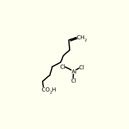 C=CCCCCCCC(=O)O.[Cl][Al]([Cl])[Cl]